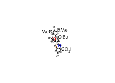 COc1cc([C@@H](O[Si](C)(C)C(C)(C)C)[C@H](CCc2nc3c(C(=O)O)cc(C)cc3s2)OCC(C)C)cc(OC)c1C